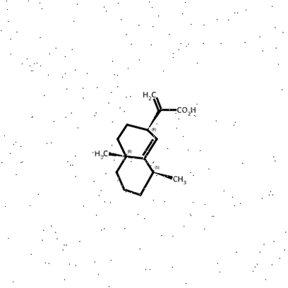 C=C(C(=O)O)[C@H]1C=C2[C@@H](C)CCC[C@]2(C)CC1